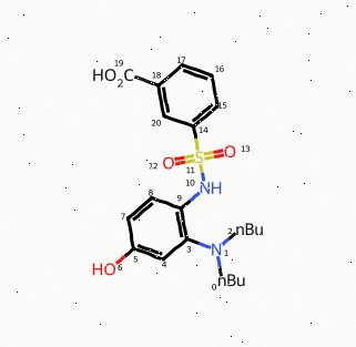 CCCCN(CCCC)c1cc(O)ccc1NS(=O)(=O)c1cccc(C(=O)O)c1